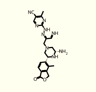 Cc1nc(N/N=C(\C=N)CN2C[C@@H](c3ccc4c(c3C)COC4=O)N[C@@H](N)C2)ncc1C#N